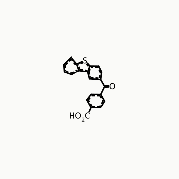 O=C(O)c1ccc(C(=O)c2ccc3sc4ccccc4c3c2)cc1